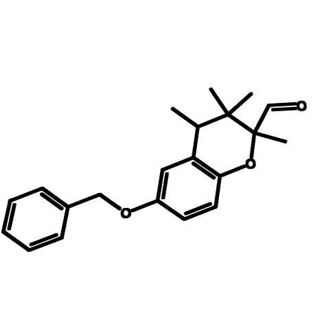 CC1c2cc(OCc3ccccc3)ccc2OC(C)(C=O)C1(C)C